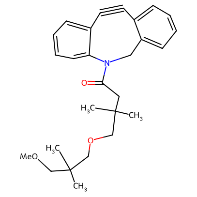 COCC(C)(C)COCC(C)(C)CC(=O)N1Cc2ccccc2C#Cc2ccccc21